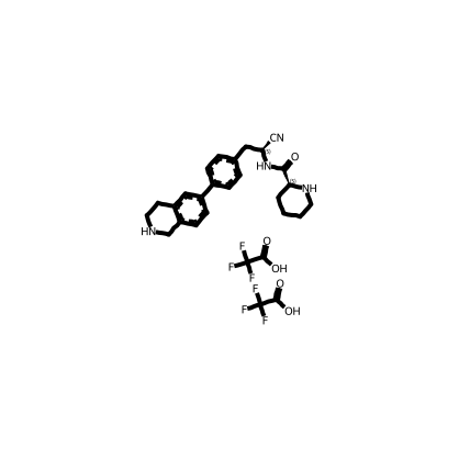 N#C[C@H](Cc1ccc(-c2ccc3c(c2)CCNC3)cc1)NC(=O)[C@@H]1CCCCN1.O=C(O)C(F)(F)F.O=C(O)C(F)(F)F